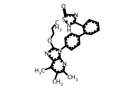 CCCOc1nc2c(C)c(C)c(C)nc2n1-c1ccc(-c2ccccc2-c2nc(=O)s[nH]2)cc1